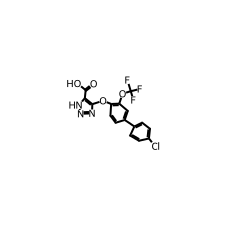 O=C(O)c1[nH]nnc1Oc1ccc(-c2ccc(Cl)cc2)cc1OC(F)(F)F